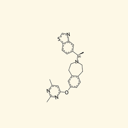 Cc1cc(Oc2ccc3c(c2)CCN([C@H](C)c2ccc4scnc4c2)CC3)nc(C)n1